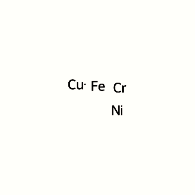 [Cr].[Cu].[Fe].[Ni]